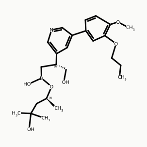 CCCOc1cc(-c2cncc([C@H](CO)CB(O)O[C@@H](C)CC(C)(C)O)c2)ccc1OC